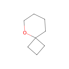 C1CCC2(CCC2)OC1